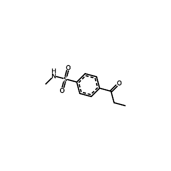 CCC(=O)c1ccc(S(=O)(=O)NC)cc1